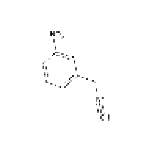 C#[N+]Cc1cccc([N+](=O)[O-])c1